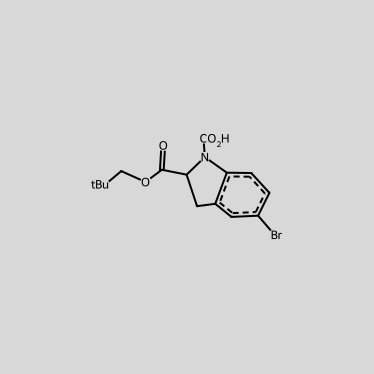 CC(C)(C)COC(=O)C1Cc2cc(Br)ccc2N1C(=O)O